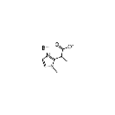 CC(C(=O)[O-])c1nccn1C.[Br+]